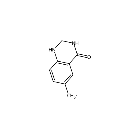 [CH2]c1ccc2c(c1)C(=O)NCN2